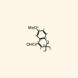 COc1ccc2c(c1)C(C=O)=CC(C)(C)O2